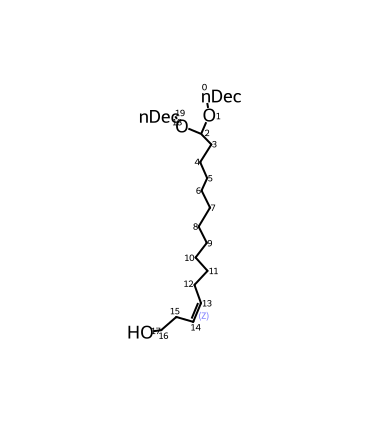 CCCCCCCCCCOC(CCCCCCCCCC/C=C\CCO)OCCCCCCCCCC